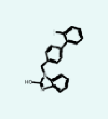 [C]c1ccccc1-c1ccc(Cn2c(O)nc3ccccc32)cc1